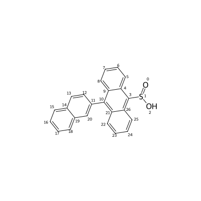 O=S(O)c1c2ccccc2c(-c2ccc3ccccc3c2)c2ccccc12